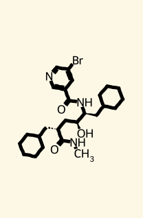 CNC(=O)[C@H](CC1CCCCC1)C[C@H](O)[C@H](CC1CCCCC1)NC(=O)c1cncc(Br)c1